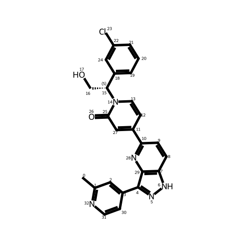 Cc1cc(-c2n[nH]c3ccc(-c4ccn([C@H](CO)c5cccc(Cl)c5)c(=O)c4)nc23)ccn1